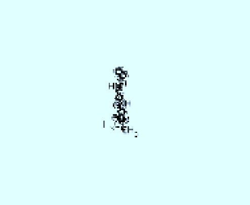 CCCC(C)N1C(=O)c2ccc(C(=O)Nc3ccc(CCNC(=O)Cc4cccc5ccccc45)cc3)cc2C1=O